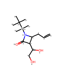 C=CCC1C(C(O)CO)C(=O)N1[Si](C)(C)C(C)(C)C